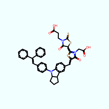 O=C(O)CCN1C(=O)/C(=c2\s/c(=C\c3ccc4c(c3)C3CCCC3N4c3ccc(C=C(c4ccccc4)c4ccccc4)cc3)c(=O)n2CC(=O)O)SC1=S